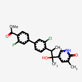 COC(=O)c1ccc(-c2ccc(C(C)C(O)(c3c[nH]c(=O)c(C)c3)C(F)(F)F)c(Cl)c2)cc1F